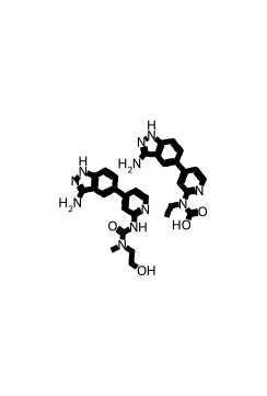 CCN(C(=O)O)c1cc(-c2ccc3[nH]nc(N)c3c2)ccn1.CN(CCO)C(=O)Nc1cc(-c2ccc3[nH]nc(N)c3c2)ccn1